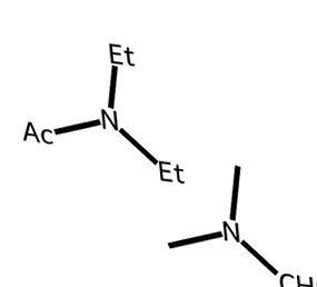 CCN(CC)C(C)=O.CN(C)C=O